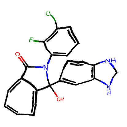 O=C1c2ccccc2C(O)(c2ccc3c(c2)N[CH]N3)N1c1cccc(Cl)c1F